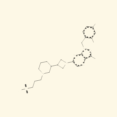 Cc1nn([C@H](C)c2ccc(Cl)cc2Cl)c2nc(N3CC(C4CCCN(CCCS(C)(=O)=O)C4)C3)cnc12